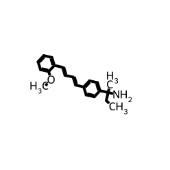 CCC(C)(N)c1ccc(/C=C/C=C/c2ccccc2OC)cc1